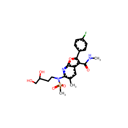 CNC(=O)c1c(-c2ccc(F)cc2)oc2nc(N(CCC(O)CO)S(C)(=O)=O)c(C)cc12